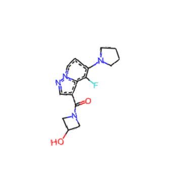 O=C(c1cnn2ccc(N3CCCC3)c(F)c12)N1CC(O)C1